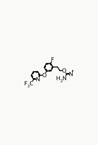 C/N=C(/N)OCCc1cc(Oc2cccc(C(F)(F)F)n2)ccc1F